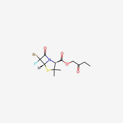 CCC(=O)COC(=O)[C@@H]1N2C(=O)C(F)(Br)[C@H]2SC1(C)C